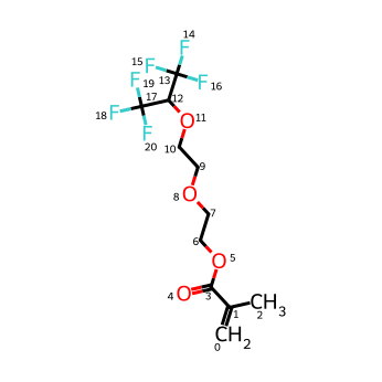 C=C(C)C(=O)OCCOCCOC(C(F)(F)F)C(F)(F)F